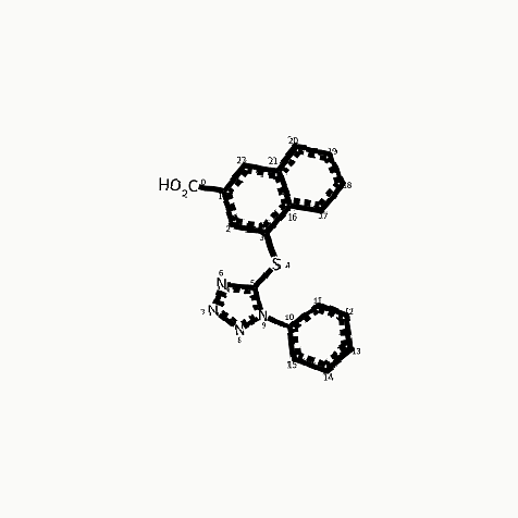 O=C(O)c1cc(Sc2nnnn2-c2ccccc2)c2ccccc2c1